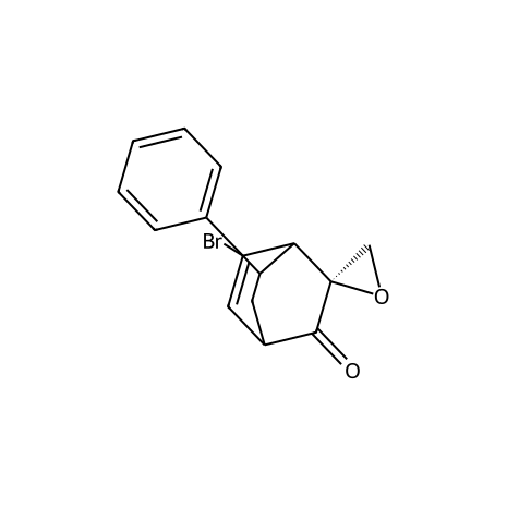 O=C1C2C=C(Br)C(C(c3ccccc3)C2)[C@]12CO2